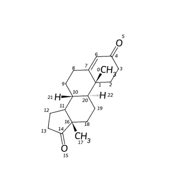 C[C@]12CCC(=O)C=C1CC[C@H]1C3CCC(=O)[C@@]3(C)CC[C@@H]12